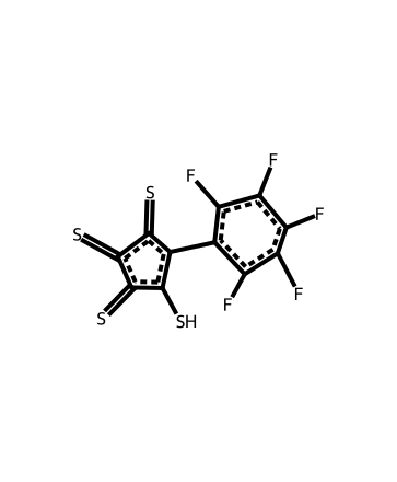 Fc1c(F)c(F)c(-c2c(S)c(=S)c(=S)c2=S)c(F)c1F